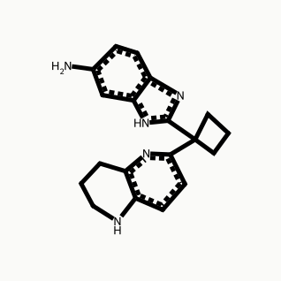 Nc1ccc2nc(C3(c4ccc5c(n4)CCCN5)CCC3)[nH]c2c1